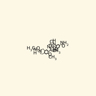 CNC(=O)CN1CCc2cc(OC)c([AsH]c3ncc(Cl)c(Nc4cc(C(N)=O)ccc4OC)n3)cc2CC1